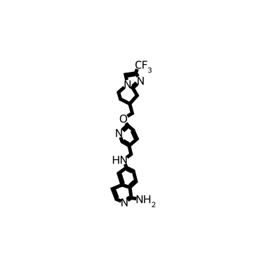 Nc1nccc2cc(NCc3ccc(OCC4CCn5cc(C(F)(F)F)nc5C4)nc3)ccc12